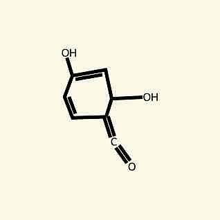 O=C=C1C=CC(O)=CC1O